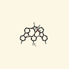 Cc1ccc2c3ccccc3n(-c3cc(C(F)(F)F)cc4c3c3c(F)c(F)c(F)c(c3F)c3ccc5c6ccc(C)cc6n4c5c3)c2c1